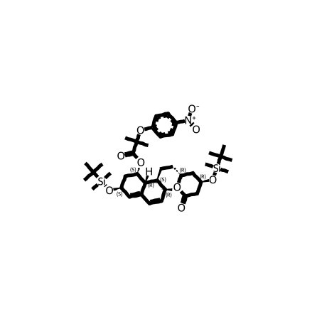 C[C@H]1C=CC2=C[C@@H](O[Si](C)(C)C(C)(C)C)C[C@H](OC(=O)C(C)(C)Oc3ccc([N+](=O)[O-])cc3)[C@@H]2[C@H]1CC[C@@H]1C[C@@H](O[Si](C)(C)C(C)(C)C)CC(=O)O1